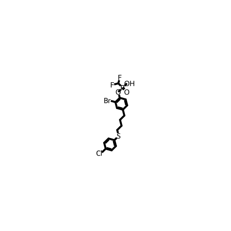 O=P(O)(Oc1ccc(CCCCSc2ccc(Cl)cc2)cc1Br)C(F)F